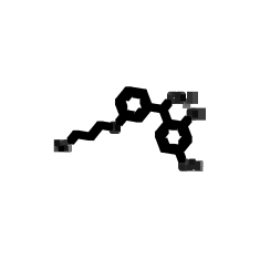 CC(=O)Oc1ccc(C(C(=O)O)c2cccc(OCCCC#N)c2)c(O)c1